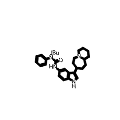 CCC(C)N(C(=O)Nc1ccc2[nH]cc(C3CCC4CCCCN4CC3)c2c1)c1ccccc1